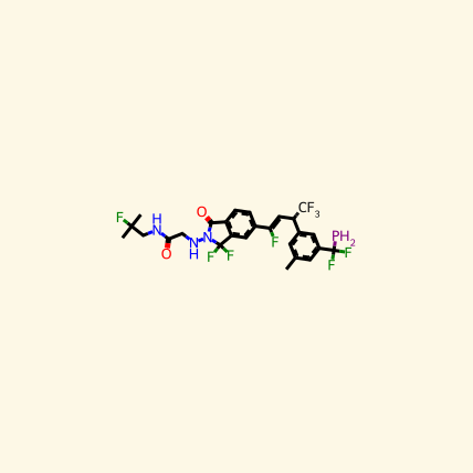 Cc1cc(C(/C=C(\F)c2ccc3c(c2)C(F)(F)N(NCC(=O)NCC(C)(C)F)C3=O)C(F)(F)F)cc(C(F)(F)P)c1